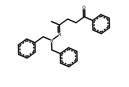 CC(CCC(=O)c1ccccc1)=NN(Cc1ccccc1)Cc1ccccc1